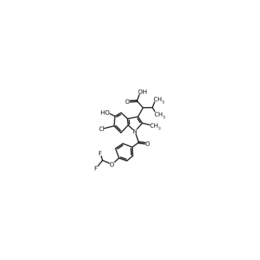 Cc1c(C(C(=O)O)C(C)C)c2cc(O)c(Cl)cc2n1C(=O)c1ccc(OC(F)F)cc1